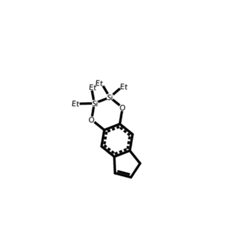 CC[Si]1(CC)Oc2cc3c(cc2O[Si]1(CC)CC)CC=C3